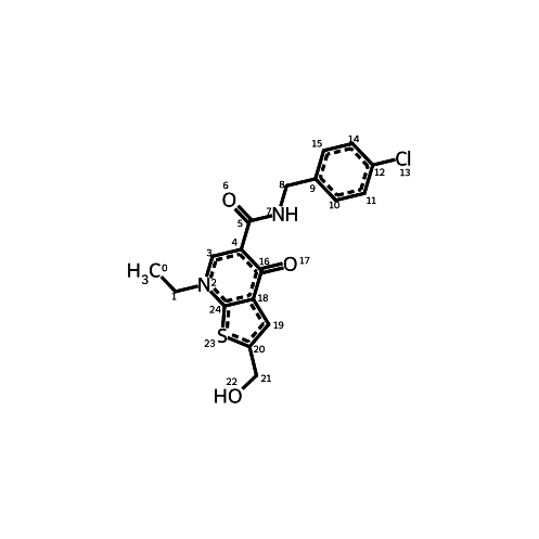 CCn1cc(C(=O)NCc2ccc(Cl)cc2)c(=O)c2cc(CO)sc21